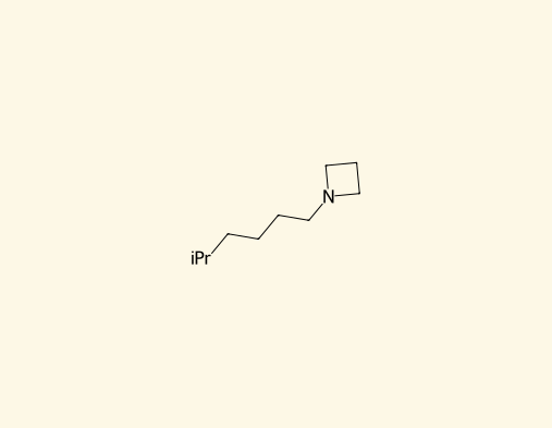 CC(C)CCCCN1CCC1